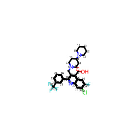 O=C(O)c1c(CN2CCC(N3CCCCC3)CC2)c(-c2cccc(C(F)(F)F)c2)nc2cc(Cl)c(F)cc12